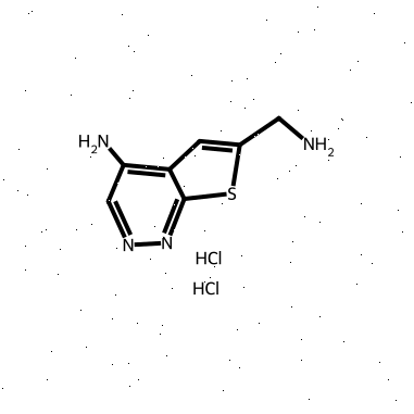 Cl.Cl.NCc1cc2c(N)cnnc2s1